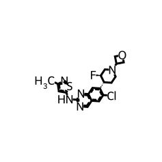 Cc1cc(Nc2ncc3cc(Cl)c([C@H]4CCN(C5COC5)C[C@@H]4F)cc3n2)sn1